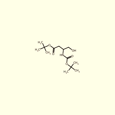 CC(C)(C)OC(=O)CC(CO)NC(=O)OC(C)(C)C